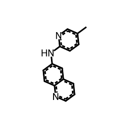 Cc1ccc(Nc2ccc3ncccc3c2)nc1